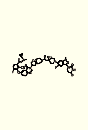 CN(SNc1ccc(F)c(Oc2ccc3ncn(C4COC5(CCN(C(=O)CC6(O)CCN(c7cc8c(cc7F)c(N7CCC(=O)NC7=O)nn8C)CC6)CC5)C4)c(=O)c3c2)c1C#N)C1CC1